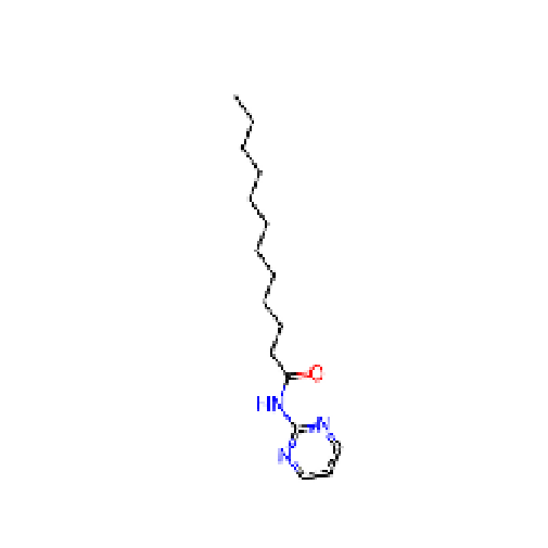 CCCCCCCCCCCC(=O)Nc1ncccn1